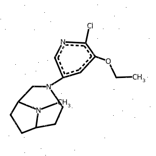 CCOc1cc(N2CCC3CCC(C2)N3C)cnc1Cl